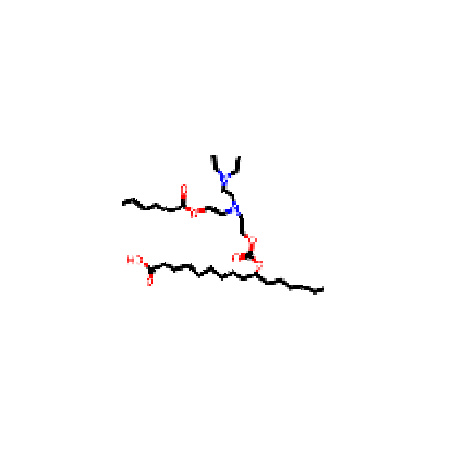 CCCCCCC(CCCCCCCCC(=O)O)OC(=O)OCCN(CCOC(=O)CCCCC)CCN(CC)CC